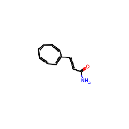 NC(=O)C=CC1=CC=CC=CC=C1